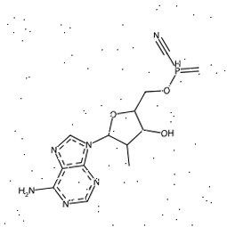 C=[PH](C#N)OCC1OC(n2cnc3c(N)ncnc32)C(C)C1O